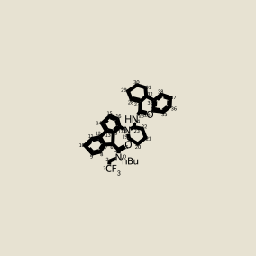 CCCCN(CC(F)(F)F)C(=O)C1c2ccccc2-c2cccc(N3CCCCC3NC(=O)C3=CCCCC3c3ccccc3)c21